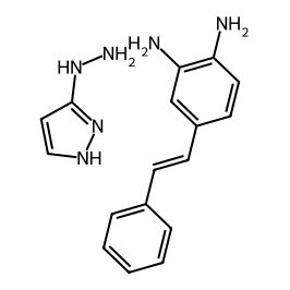 NNc1cc[nH]n1.Nc1ccc(C=Cc2ccccc2)cc1N